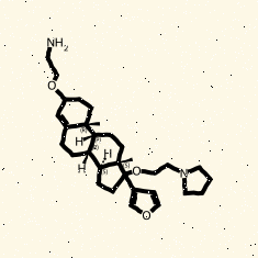 C[C@]12CCC(OCCN)C=C1CC[C@@H]1[C@H]2CC[C@@]2(C)[C@H]1CCC2(OCCN1CCCC1)c1ccoc1